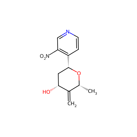 C=C1[C@H](O)C[C@H](c2ccncc2[N+](=O)[O-])O[C@@H]1C